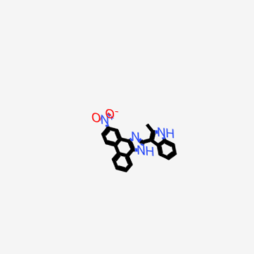 Cc1[nH]c2ccccc2c1-c1nc2c3cc([N+](=O)[O-])ccc3c3ccccc3c2[nH]1